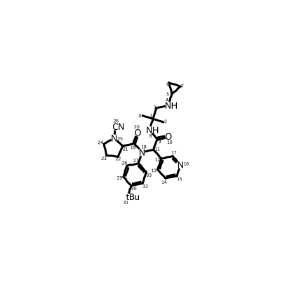 CC(C)(CNC1CC1)NC(=O)C(c1cccnc1)N(C(=O)C1CCCN1C#N)c1ccc(C(C)(C)C)cc1